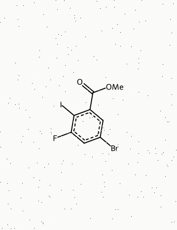 COC(=O)c1cc(Br)cc(F)c1I